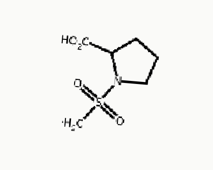 [CH2]S(=O)(=O)N1CCCC1C(=O)O